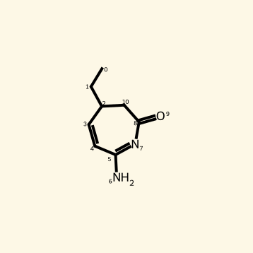 CCC1C=CC(N)=NC(=O)C1